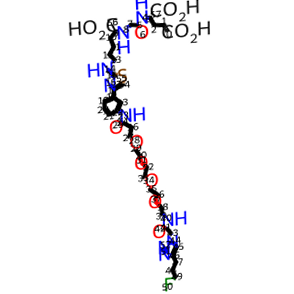 O=C(O)CC[C@H](NC(=O)CN[C@@H](CCCCNc1nc(-c2cccc(NC(=O)CCOCCOCCOCCOCCNC(=O)Cn3cc(CCCF)nn3)c2)cs1)C(=O)O)C(=O)O